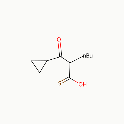 CCCCC(C(=O)C1CC1)C(O)=S